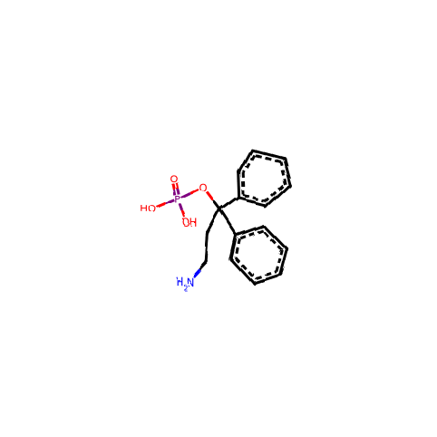 NCCC(OP(=O)(O)O)(c1ccccc1)c1ccccc1